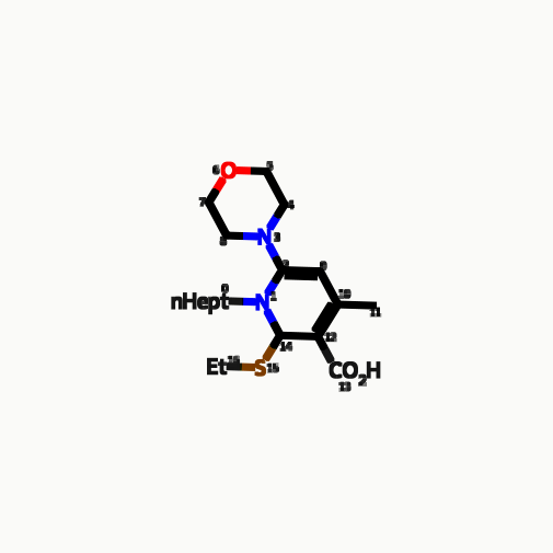 CCCCCCCN1C(N2CCOCC2)=CC(C)=C(C(=O)O)C1SCC